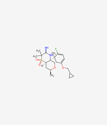 C[C@H]1C[C@@H]2[C@](C3(C)CC(OCC4CC4)=CC=C3F)(CO1)NC(=N)C(C)(C)S2(=O)=O